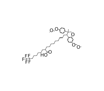 COCOc1ccc(C2(C)COc3cc(OCOC)ccc3C2CC=CCCCCCCC(CCCCCCC(F)(F)C(F)(F)F)C(=O)O)cc1